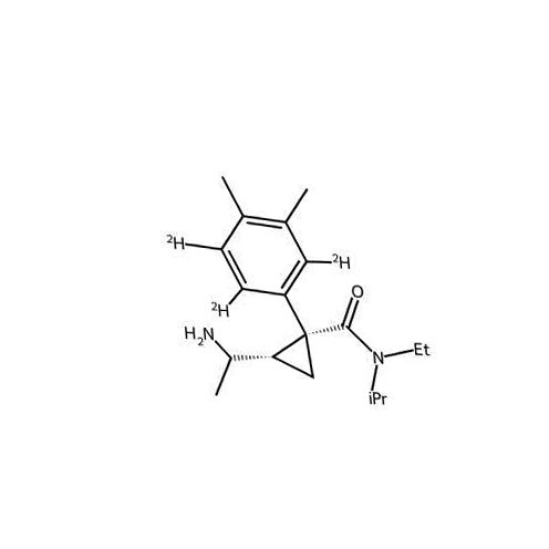 [2H]c1c([2H])c([C@@]2(C(=O)N(CC)C(C)C)C[C@@H]2C(C)N)c([2H])c(C)c1C